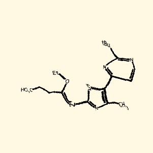 CCOC(CCC(=O)O)=Nc1nc(C)c(-c2ccnc(C(C)(C)C)n2)s1